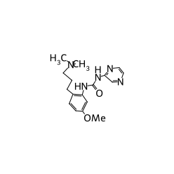 COc1ccc(CCCN(C)C)c(NC(=O)Nc2cnccn2)c1